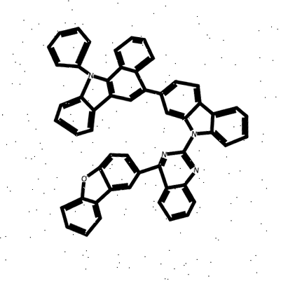 c1ccc(-n2c3ccccc3c3cc(-c4ccc5c6ccccc6n(-c6nc(-c7ccc8oc9ccccc9c8c7)c7ccccc7n6)c5c4)c4ccccc4c32)cc1